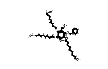 CCCCCCCCCCCCCCCCCCOc1c(C=NO)c(OCc2ccccc2)c(OCCCCCCCCCCCCCCCCCC)c(OC)c1OCCCCCCCCCCCCCCCCCC